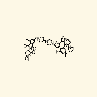 O=C1CCC(N2C(=O)c3cc(CN4CCC(N5CCN(c6cccc(-c7cnn8ccc(N9CCC[C@@H]9c9ccc(F)cc9F)nc78)n6)CC5)CC4)cc(F)c3C2=O)C(=O)N1